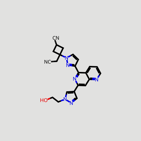 N#CCC1(n2ccc(-c3nc(-c4cnn(CCO)c4)cc4ncccc34)n2)CC(C#N)C1